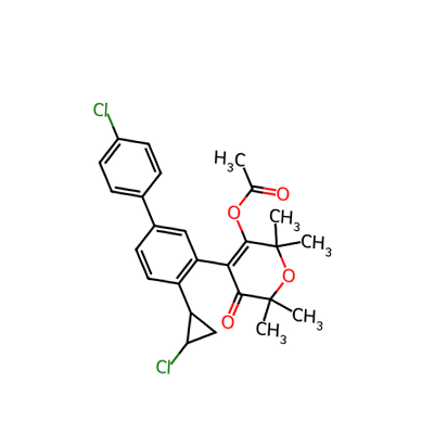 CC(=O)OC1=C(c2cc(-c3ccc(Cl)cc3)ccc2C2CC2Cl)C(=O)C(C)(C)OC1(C)C